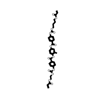 C=CC(=O)OCCCCOC(=O)Oc1ccc(C(=O)Oc2ccc(OC(=O)c3ccc(OC(=O)OCCOC(=O)C=C)cc3)c(C)c2)cc1